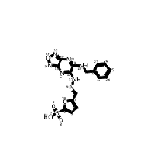 O=S(=O)(O)c1ccc(C=NNc2nc3nonc3nc2NCc2ccccc2)o1